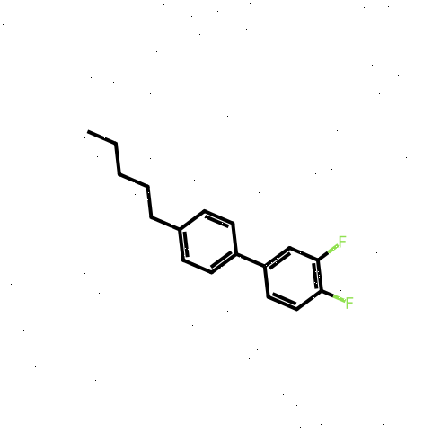 CCCCCc1ccc(-c2ccc(F)c(F)c2)cc1